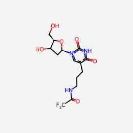 O=C(NCCCc1cn([C@H]2CC(O)[C@@H](CO)O2)c(=O)[nH]c1=O)C(F)(F)F